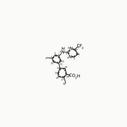 Cc1cc(Nc2nccc(C(F)(F)F)n2)cc(-c2ccc(C)c(C(=O)O)c2)c1